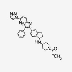 C=CC(=O)N1CCC(N[C@H]2CCc3cc(-c4nc5ccc(-n6ccnn6)nn5c4-c4ccccc4)ccc32)CC1